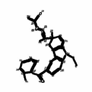 CCn1c2c(c3cc(C(=O)c4ccccc4C)ccc31)CC(C)(/C(C)=N/OC(C)=O)C=C2